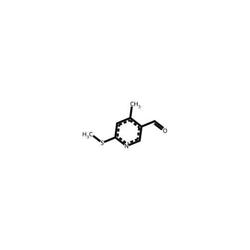 CSc1cc(C)c(C=O)cn1